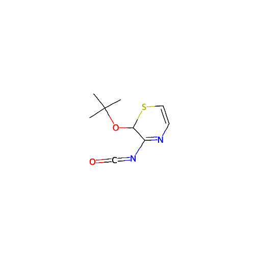 CC(C)(C)OC1SC=CN=C1N=C=O